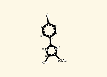 CC(=O)Oc1nc(-c2ccc(Cl)cc2)sc1Cl